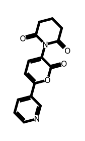 O=C1CCCC(=O)N1c1ccc(-c2cccnc2)oc1=O